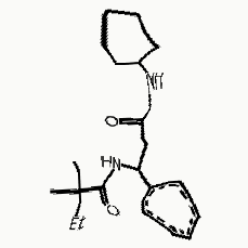 CCC(C)(C)C(=O)NC(CC(=O)NC1CCCCC1)c1ccccc1